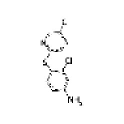 Nc1ccc(Sc2cnc(Cl)cn2)c(Cl)c1